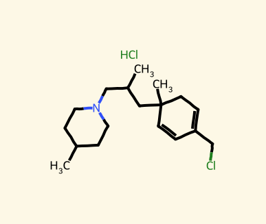 CC1CCN(CC(C)CC2(C)C=CC(CCl)=CC2)CC1.Cl